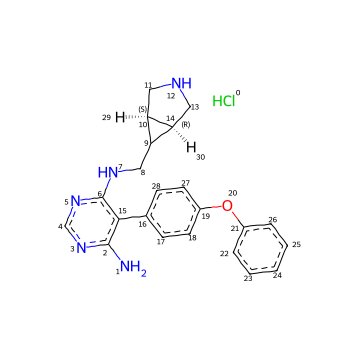 Cl.Nc1ncnc(NCC2[C@H]3CNC[C@@H]23)c1-c1ccc(Oc2ccccc2)cc1